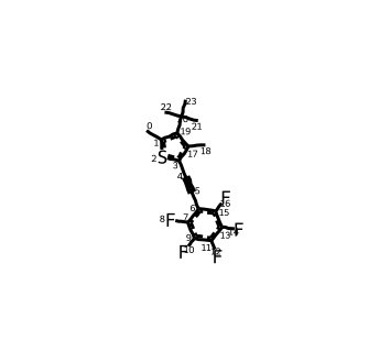 Cc1sc(C#Cc2c(F)c(F)c(F)c(F)c2F)c(C)c1C(C)(C)C